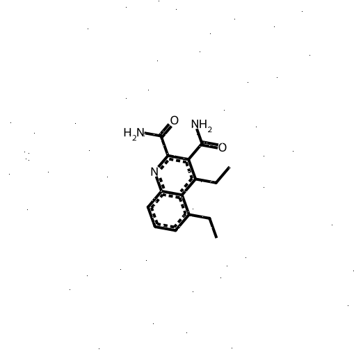 CCc1cccc2nc(C(N)=O)c(C(N)=O)c(CC)c12